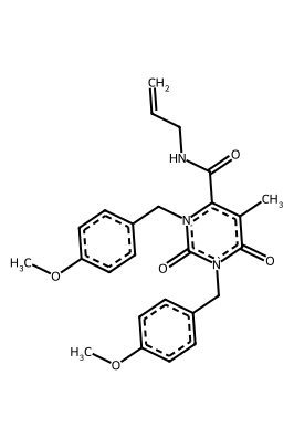 C=CCNC(=O)c1c(C)c(=O)n(Cc2ccc(OC)cc2)c(=O)n1Cc1ccc(OC)cc1